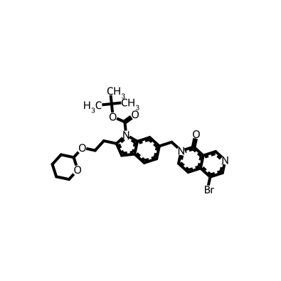 CC(C)(C)OC(=O)n1c(CCOC2CCCCO2)cc2ccc(Cn3ccc4c(Br)cncc4c3=O)cc21